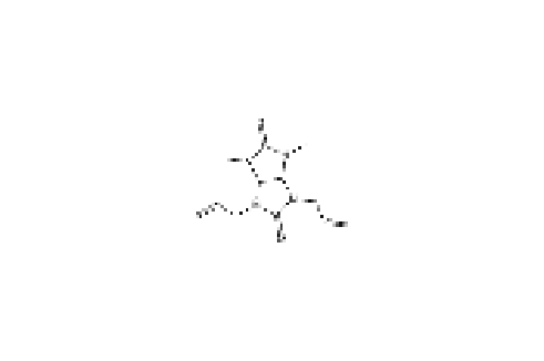 C=CCN1C(=O)N(CC=C)C2C1N(C)C(=O)N2C